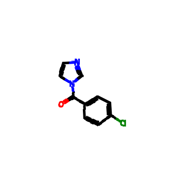 O=C(c1ccc(Cl)cc1)n1ccnc1